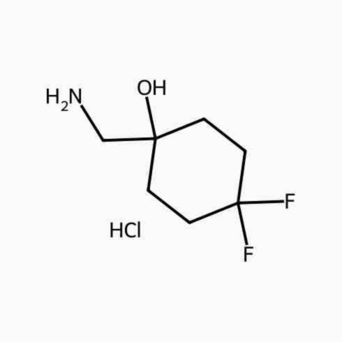 Cl.NCC1(O)CCC(F)(F)CC1